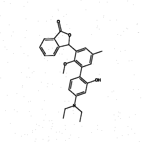 CCN(CC)c1ccc(-c2cc(C)cc(C3OC(=O)c4ccccc43)c2OC)c(O)c1